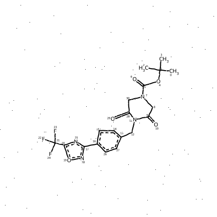 CC(C)(C)OC(=O)N1CC(=O)N(Cc2ccc(-c3noc(C(F)(F)F)n3)cc2)C(=O)C1